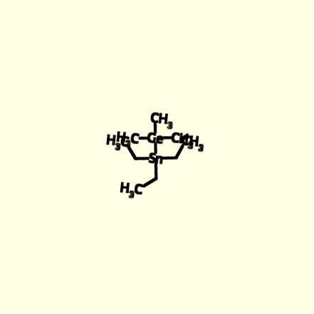 C[CH2][Sn]([CH2]C)([CH2]C)[Ge]([CH3])([CH3])[CH3]